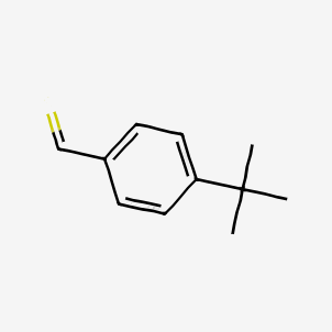 CC(C)(C)c1ccc(C=S)cc1